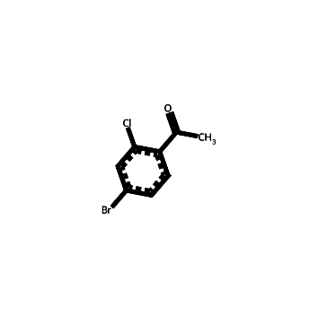 CC(=O)c1[c]cc(Br)cc1Cl